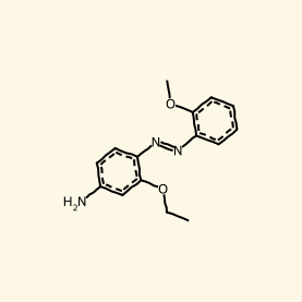 CCOc1cc(N)ccc1/N=N/c1ccccc1OC